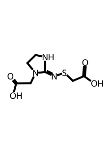 O=C(O)CS/N=C1\NCCN1CC(=O)O